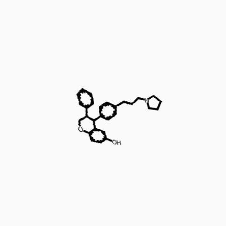 Oc1ccc2c(c1)C(c1ccc(CCCN3CCCC3)cc1)C(c1ccccc1)CO2